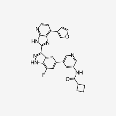 O=C(Nc1cncc(-c2cc(F)c3[nH]nc(-c4nc5c(-c6ccoc6)ccnc5[nH]4)c3c2)c1)C1CCC1